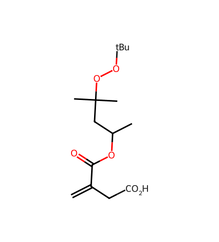 C=C(CC(=O)O)C(=O)OC(C)CC(C)(C)OOC(C)(C)C